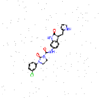 O=C1Nc2cc(NC(=O)N3CCN(c4cccc(Cl)c4)C3=O)ccc2/C1=C/c1ccc[nH]1